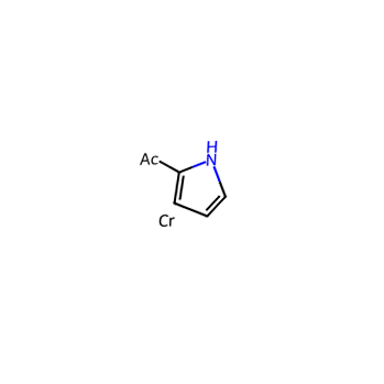 CC(=O)c1ccc[nH]1.[Cr]